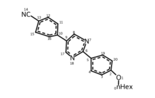 CCCCCCOc1ccc(-c2ncc(-c3ccc(C#N)cc3)cn2)cc1